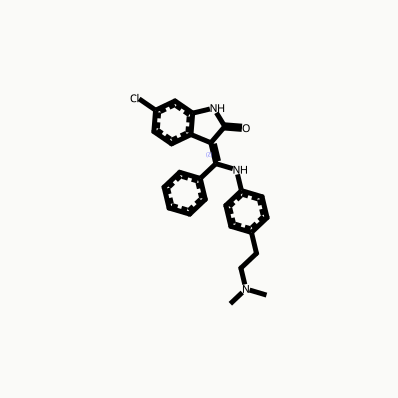 CN(C)CCc1ccc(N/C(=C2\C(=O)Nc3cc(Cl)ccc32)c2ccccc2)cc1